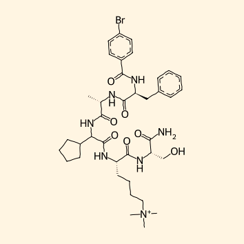 C[C@H](NC(=O)[C@H](Cc1ccccc1)NC(=O)c1ccc(Br)cc1)C(=O)NC(C(=O)N[C@@H](CCCC[N+](C)(C)C)C(=O)N[C@@H](CO)C(N)=O)C1CCCC1